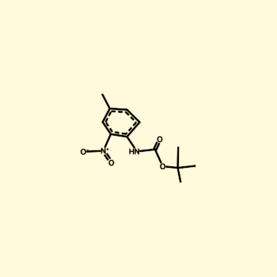 Cc1ccc(NC(=O)OC(C)(C)C)c([N+](=O)[O-])c1